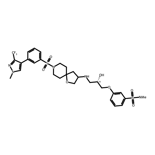 CNS(=O)(=O)c1cccc(OC[C@@H](O)CNC2COC3(CCN(S(=O)(=O)c4cccc(-c5cn(C)nc5C(F)(F)F)c4)CC3)C2)c1